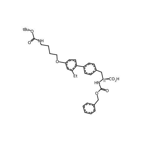 CCc1cc(OCCCCNC(=O)OC(C)(C)C)ccc1-c1ccc(C[C@H](NC(=O)OCc2ccccc2)C(=O)O)cc1